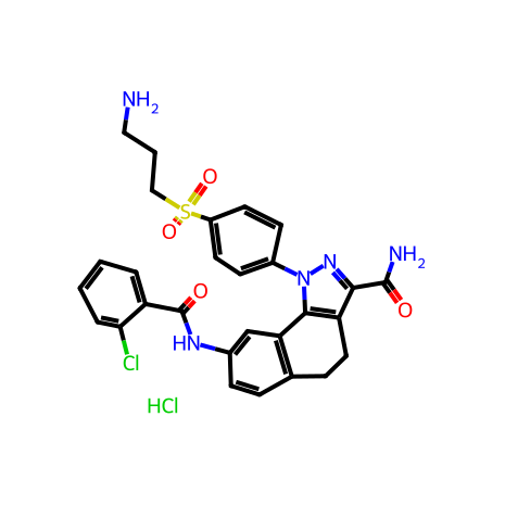 Cl.NCCCS(=O)(=O)c1ccc(-n2nc(C(N)=O)c3c2-c2cc(NC(=O)c4ccccc4Cl)ccc2CC3)cc1